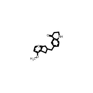 COc1cccc2c1CC(Cc1ccc3c(c1)C(=O)CCN3)C2